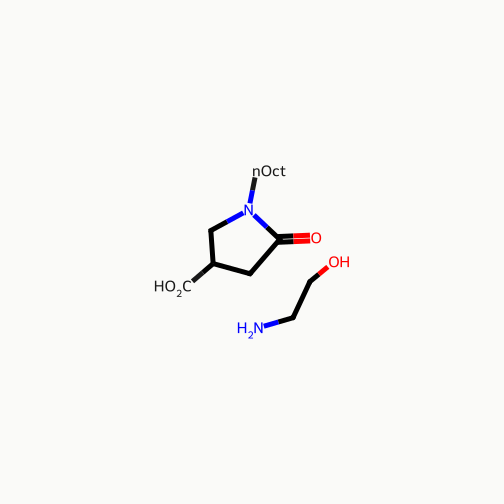 CCCCCCCCN1CC(C(=O)O)CC1=O.NCCO